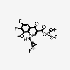 COc1c(F)c(F)cc2c(=O)c(C(=O)OB(OF)OF)cn(N[C@@H]3C[C@@H]3F)c12